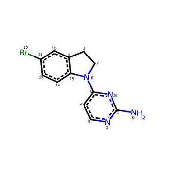 Nc1nccc(N2CCc3cc(Br)ccc32)n1